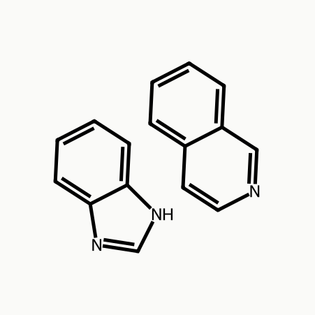 c1ccc2[nH]cnc2c1.c1ccc2cnccc2c1